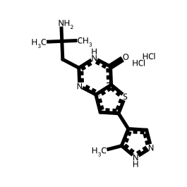 Cc1[nH]ncc1-c1cc2nc(CC(C)(C)N)[nH]c(=O)c2s1.Cl.Cl